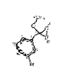 COC1(c2cncc(Br)c2)OO1